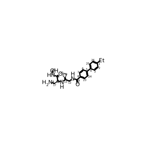 CCc1ccc(-c2ccc(C(=O)NCC(=O)N[C@@H](CN)C(=O)NO)cc2)cc1